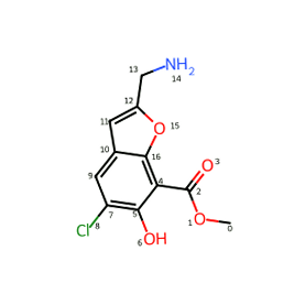 COC(=O)c1c(O)c(Cl)cc2cc(CN)oc12